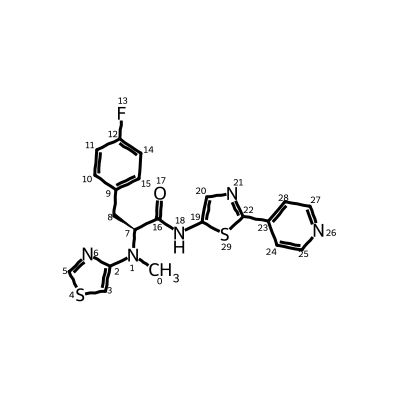 CN(c1cscn1)[C@@H](Cc1ccc(F)cc1)C(=O)Nc1cnc(-c2ccncc2)s1